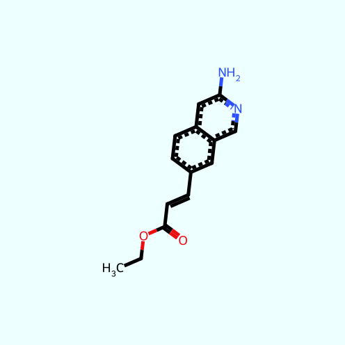 CCOC(=O)/C=C/c1ccc2cc(N)ncc2c1